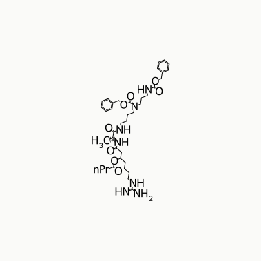 CCCC(=O)OC(CCCCNC(=N)N)CC(=O)N[C@@H](C)C(=O)NCCCCN(CCCNC(=O)OCc1ccccc1)C(=O)OCc1ccccc1